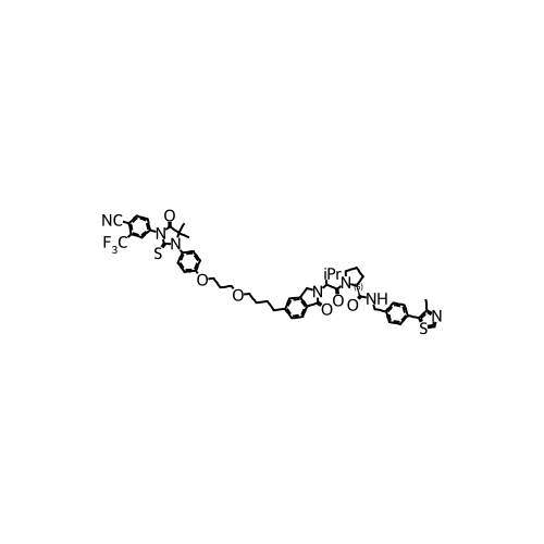 Cc1ncsc1-c1ccc(CNC(=O)[C@@H]2CCCN2C(=O)C(C(C)C)N2Cc3cc(CCCCOCCCOc4ccc(N5C(=S)N(c6ccc(C#N)c(C(F)(F)F)c6)C(=O)C5(C)C)cc4)ccc3C2=O)cc1